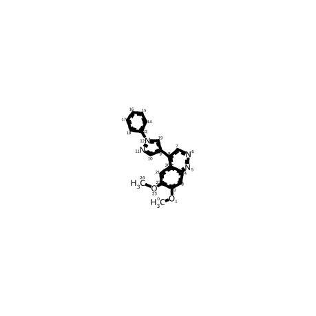 COc1cc2nncc(-c3cnn(-c4ccccc4)c3)c2cc1OC